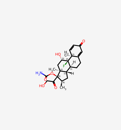 C[C@@H]1C[C@H]2[C@@H]3CCC4=CC(=O)C=C[C@]4(C)[C@@]3(F)[C@@H](O)C[C@]2(C)[C@@]1(OC(N)=O)C(=O)CO